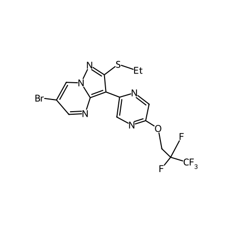 CCSc1nn2cc(Br)cnc2c1-c1cnc(OCC(F)(F)C(F)(F)F)cn1